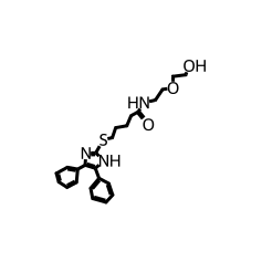 O=C(CCCCSc1nc(-c2ccccc2)c(-c2ccccc2)[nH]1)NCCOCCO